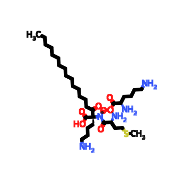 CCCCCCCCCCCCCCCC(=O)[C@](CCCCN)(C(=O)O)N(OOC(=O)[C@@H](N)CCCCN)C(=O)[C@@H](N)CCSC